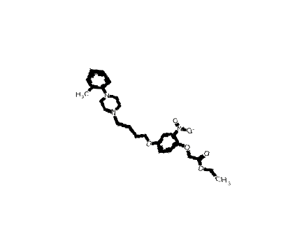 CCOC(=O)COc1ccc(OCCCCN2CCN(c3ccccc3C)CC2)cc1[N+](=O)[O-]